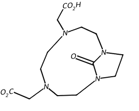 O=C(O)CN1CCN(CC(=O)O)CCN2CCN(CC1)C2=O